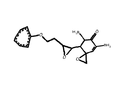 BC1=CC2(CO2)C(C2OC2CCOc2ccccc2)C(B)C1=O